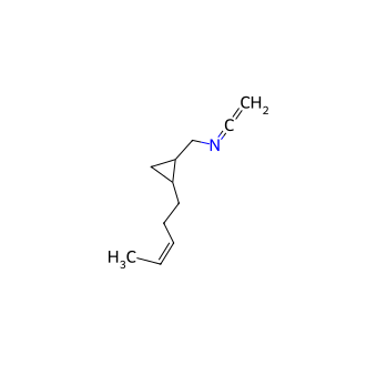 C=C=NCC1CC1CC/C=C\C